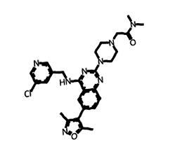 Cc1noc(C)c1-c1ccc2nc(N3CCN(CC(=O)N(C)C)CC3)nc(NCc3cncc(Cl)c3)c2c1